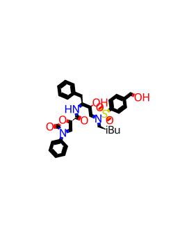 CC[C@H](C)CN(C[C@@H](O)[C@H](Cc1ccccc1)NC(=O)[C@@H]1CN(c2ccccc2)C(=O)O1)S(=O)(=O)c1ccc(CO)cc1